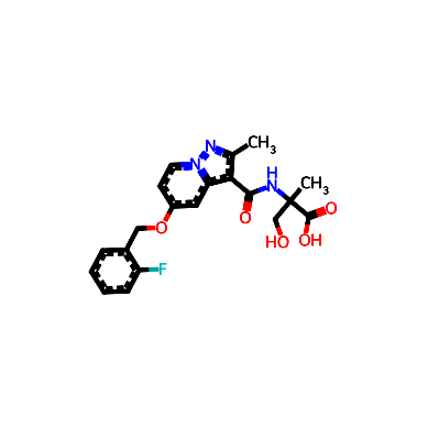 Cc1nn2ccc(OCc3ccccc3F)cc2c1C(=O)NC(C)(CO)C(=O)O